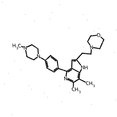 Cc1nc(-c2ccc(N3CCN(C)CC3)cc2)c2cc(CCN3CCOCC3)[nH]c2c1C